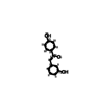 [O-][N+](=Cc1cccc(O)c1)c1ccc(O)cc1